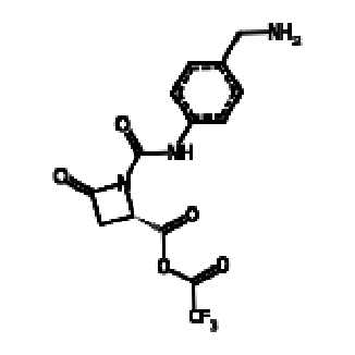 NCc1ccc(NC(=O)N2C(=O)C[C@H]2C(=O)OC(=O)C(F)(F)F)cc1